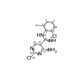 Cc1cccc(Cl)c1NC(=N)c1cnc(Cl)nc1N